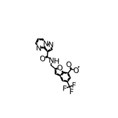 COC(=O)c1cc(C(F)(F)F)cc2cc(CNC(=O)c3cnn4cccnc34)oc12